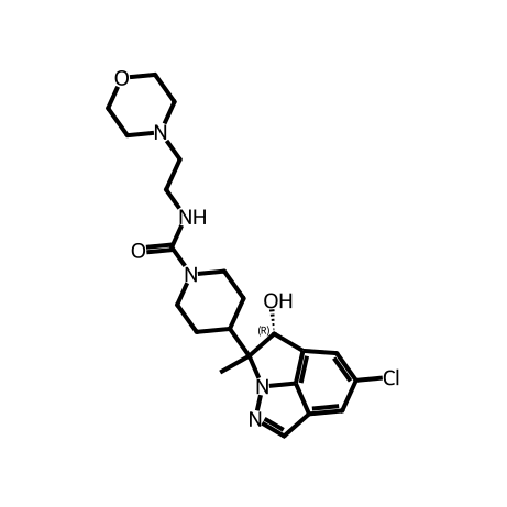 CC1(C2CCN(C(=O)NCCN3CCOCC3)CC2)[C@H](O)c2cc(Cl)cc3cnn1c23